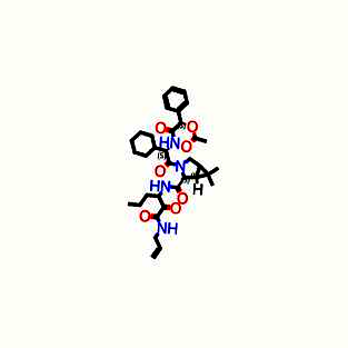 C=CCNC(=O)C(=O)C(CCC)NC(=O)[C@@H]1[C@@H]2C(CN1C(=O)[C@@H](NC(=O)[C@@H](OC(C)=O)c1ccccc1)C1CCCCC1)C2(C)C